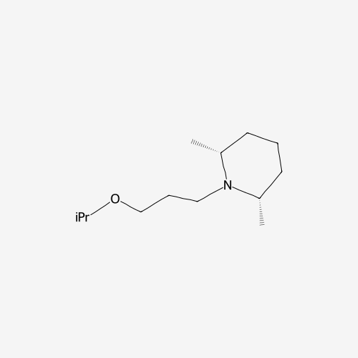 CC(C)OCCCN1[C@H](C)CCC[C@@H]1C